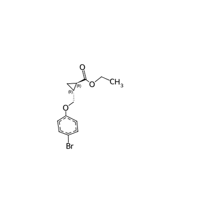 CCOC(=O)[C@@H]1C[C@H]1COc1ccc(Br)cc1